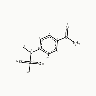 CN(c1ccc(C(N)=O)cn1)S(C)(=O)=O